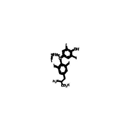 CC(=O)NI.N[C@@H](Cc1cc(I)c(Oc2cc(I)c(O)c(I)c2)c(I)c1)C(=O)O